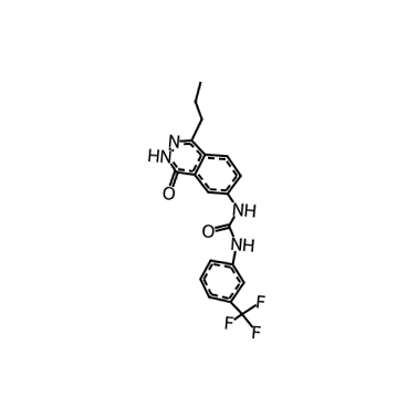 CCCc1n[nH]c(=O)c2cc(NC(=O)Nc3cccc(C(F)(F)F)c3)ccc12